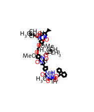 COc1cc2c(cc1OCCCOc1cc3c(cc1OC)C(=O)N1C=C(C4CC4)C[C@H]1C(=O)N3COCC[Si](C)(C)C)N(COCC[Si](C)(C)C)C(=O)[C@@H]1CC(c3ccc(NC(=O)[C@H](C)NC(=O)[C@@H](NC(=O)OCC4c5ccccc5-c5ccccc54)C(C)C)cc3)=CN1C2=O